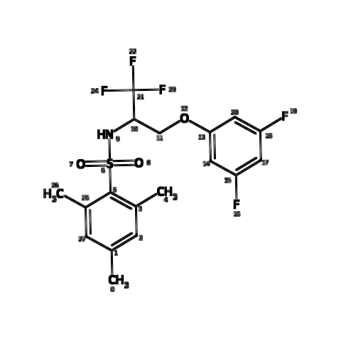 Cc1cc(C)c(S(=O)(=O)NC(COc2cc(F)cc(F)c2)C(F)(F)F)c(C)c1